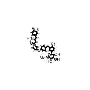 CCc1ccc([C@@H]2O[C@H](SC)[C@@H](O)[C@H](O)[C@H]2O)cc1Cc1ccc(O[C@H]2CCN(C(=O)C[C@H](N)Cc3cc(F)c(F)cc3F)C2)cc1